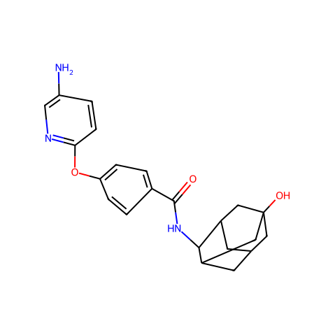 Nc1ccc(Oc2ccc(C(=O)NC3C4CC5CC3CC(O)(C5)C4)cc2)nc1